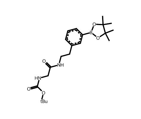 CC(C)(C)OC(=O)NCC(=O)NCCc1cccc(B2OC(C)(C)C(C)(C)O2)c1